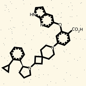 O=C(O)c1ccc(N2CCC3(CC2)CC(N2CCC[C@H]2c2ccccc2C2CC2)C3)cc1Oc1cnc2[nH]ccc2c1